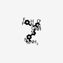 COc1cnc(NCc2ccc(-c3ccc4ncnc(N)c4c3)s2)c(C(=O)NCc2ccc(F)c(F)c2)c1